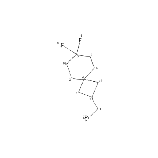 CC(C)CC1CC2(CCC(F)(F)CC2)C1